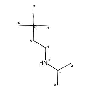 CC(C)NCCC(C)(C)I